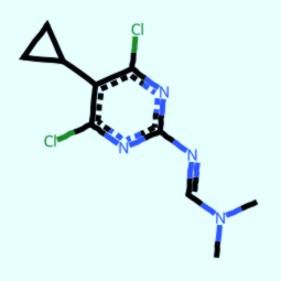 CN(C)/C=N/c1nc(Cl)c(C2CC2)c(Cl)n1